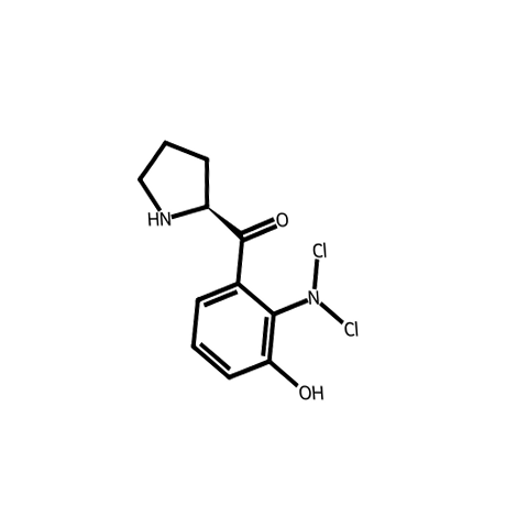 O=C(c1cccc(O)c1N(Cl)Cl)[C@@H]1CCCN1